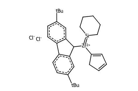 CC(C)(C)c1ccc2c(c1)[CH]([Zr+2]([C]1=CC=CC1)=[Si]1CCCCC1)c1cc(C(C)(C)C)ccc1-2.[Cl-].[Cl-]